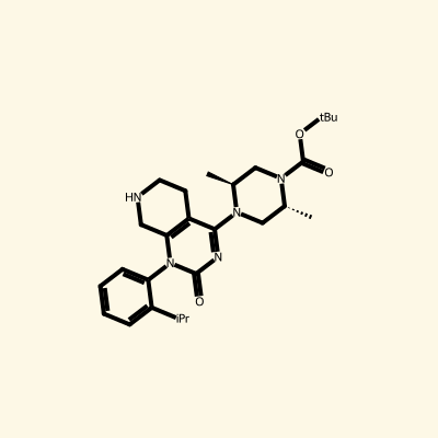 CC(C)c1ccccc1-n1c2c(c(N3C[C@@H](C)N(C(=O)OC(C)(C)C)C[C@@H]3C)nc1=O)CCNC2